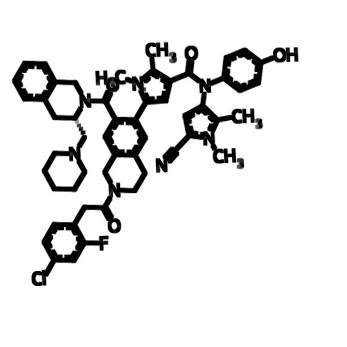 Cc1c(N(C(=O)c2cc(-c3cc4c(cc3C(=O)N3Cc5ccccc5C[C@H]3CN3CCCCC3)CN(C(=O)Cc3ccc(Cl)cc3F)CC4)n(C)c2C)c2ccc(O)cc2)cc(C#N)n1C